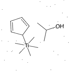 CC(C)O.[CH3][Ti]([CH3])([CH3])([CH3])([CH3])[CH]1C=CC=C1